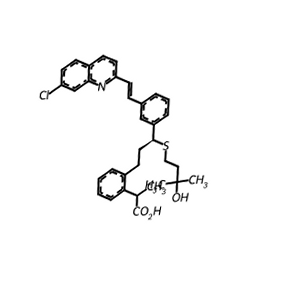 CC(C(=O)O)c1ccccc1CC[C@H](SCCC(C)(C)O)c1cccc(C=Cc2ccc3ccc(Cl)cc3n2)c1